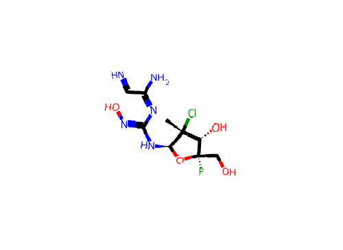 C[C@]1(Cl)[C@H](NC(=N/O)/N=C(/N)C=N)O[C@](F)(CO)[C@H]1O